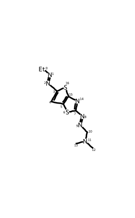 CCN=Nc1cc2sc(N=NCN(C)C)nc2s1